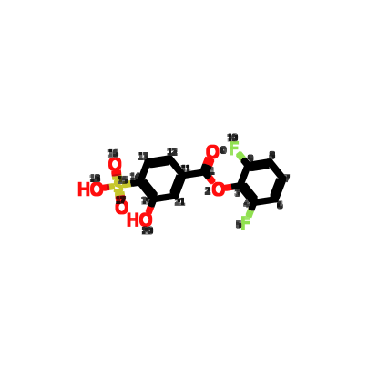 O=C(Oc1c(F)cccc1F)c1ccc(S(=O)(=O)O)c(O)c1